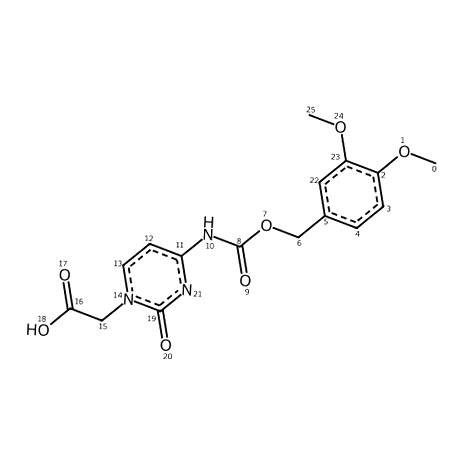 COc1ccc(COC(=O)Nc2ccn(CC(=O)O)c(=O)n2)cc1OC